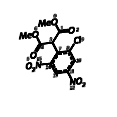 COC(=O)C(C(=O)OC)c1c(Cl)cc([N+](=O)[O-])cc1[N+](=O)[O-]